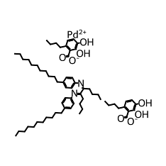 CCCCCCCCCCCc1ccc(N=C(CCCC)C(CCCC)=Nc2ccc(CCCCCCCCCCC)cc2)cc1.CCCCc1ccc(O)c(O)c1C(=O)[O-].CCCCc1ccc(O)c(O)c1C(=O)[O-].[Pd+2]